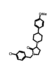 COc1ccc(C2CCN(C3CCN(Cc4ccc(Cl)cc4)C3=O)CC2)cc1